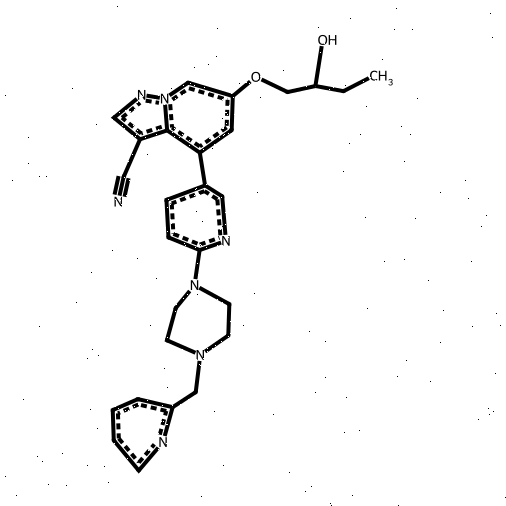 CCC(O)COc1cc(-c2ccc(N3CCN(Cc4ccccn4)CC3)nc2)c2c(C#N)cnn2c1